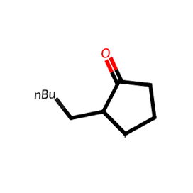 CCCCCC1[CH]CCC1=O